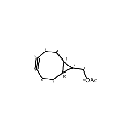 CC(=O)OCC1C2CCC#CCCC21